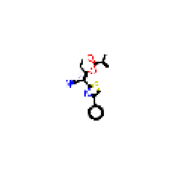 C=C(C)C(=O)O/C(CC)=C(/C#N)c1nc(-c2ccccc2)cs1